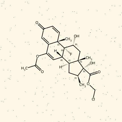 CC(=O)OC1=C[C@H]2[C@@H]3C[C@H](C)[C@](O)(C(=O)OCCl)[C@@]3(C)C[C@@H](O)[C@]2(F)[C@@]2(C)C=CC(=O)C=C12